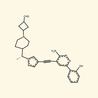 C[C@H](C1CCN(C2CC(C=O)C2)CC1)n1cc(C#Cc2cc(-c3ccccc3O)nnc2N)cn1